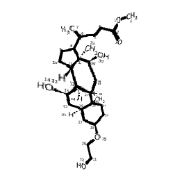 COC(=O)CCC(C)C1CC[C@H]2[C@@H]3[C@H](O)C[C@@H]4C[C@H](OCCO)CC[C@]4(C)[C@H]3C[C@H](O)[C@]12C